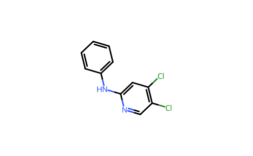 Clc1cnc(Nc2ccccc2)cc1Cl